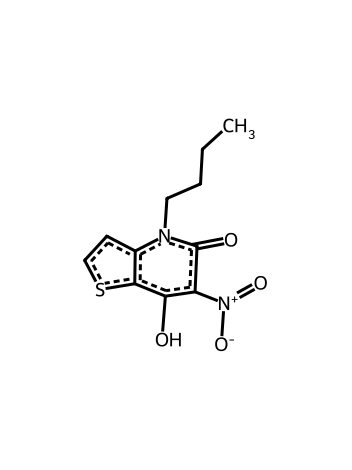 CCCCn1c(=O)c([N+](=O)[O-])c(O)c2sccc21